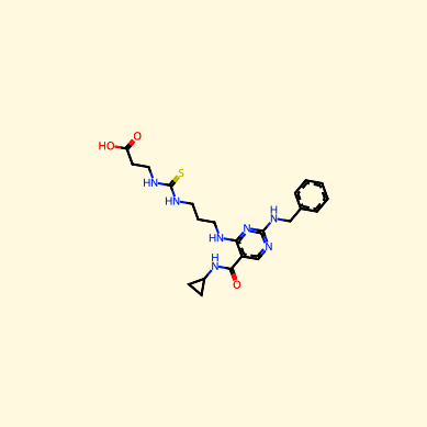 O=C(O)CCNC(=S)NCCCNc1nc(NCc2ccccc2)ncc1C(=O)NC1CC1